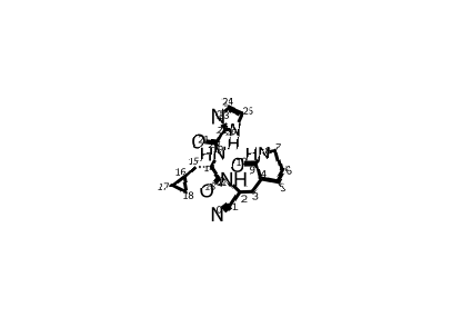 N#CC(CC1CCCNC1=O)NC(=O)[C@H](CC1CC1)NC(=O)c1ncc[nH]1